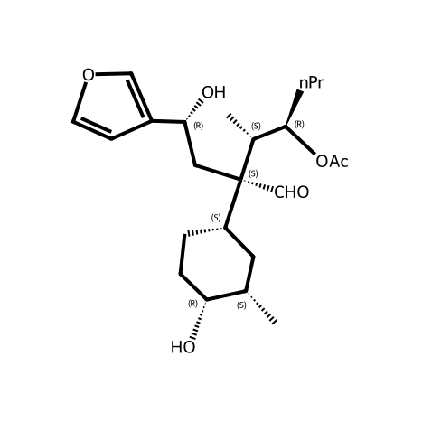 CCC[C@@H](OC(C)=O)[C@@H](C)[C@](C=O)(C[C@@H](O)c1ccoc1)[C@H]1CC[C@@H](O)[C@@H](C)C1